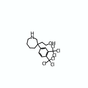 OCCC1(c2ccc(C(Cl)(Cl)Cl)c(C(Cl)(Cl)Cl)c2)CCCCNC1